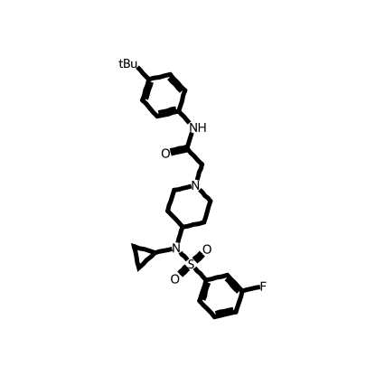 CC(C)(C)c1ccc(NC(=O)CN2CCC(N(C3CC3)S(=O)(=O)c3cccc(F)c3)CC2)cc1